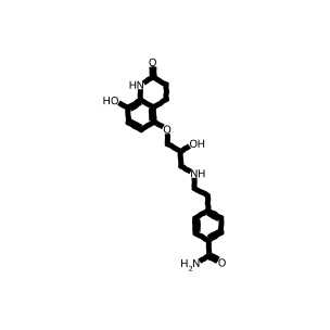 NC(=O)c1ccc(CCNCC(O)COc2ccc(O)c3c2CCC(=O)N3)cc1